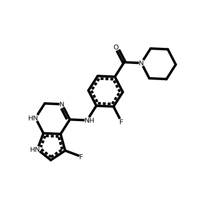 O=C(c1ccc(NC2=NCNc3[nH]cc(F)c32)c(F)c1)N1CCCCC1